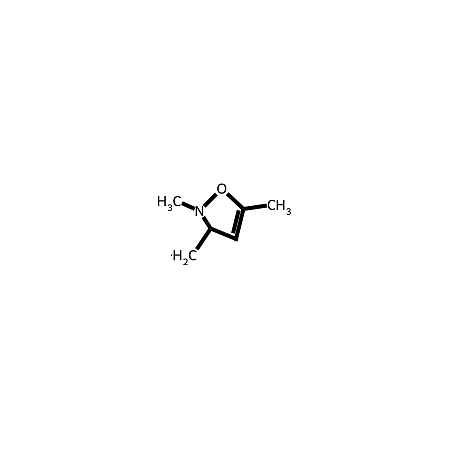 [CH2]C1C=C(C)ON1C